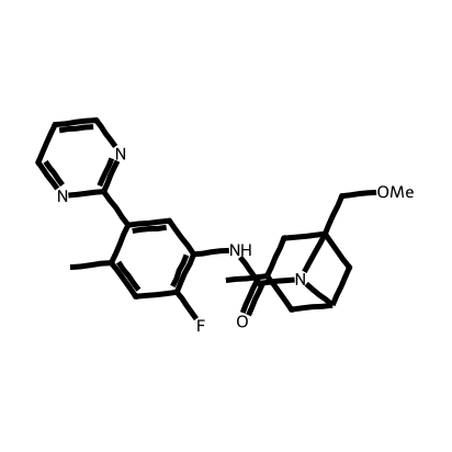 COCC12CC(C)CC(C1)N2C(=O)Nc1cc(-c2ncccn2)c(C)cc1F